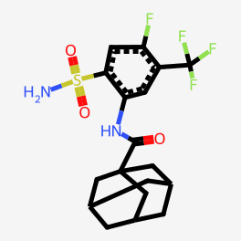 NS(=O)(=O)c1cc(F)c(C(F)(F)F)cc1NC(=O)C12CC3CC(CC(C3)C1)C2